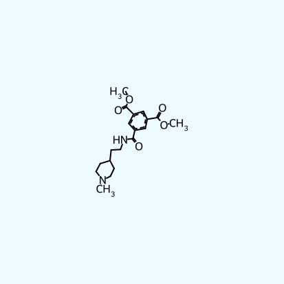 COC(=O)c1cc(C(=O)NCCC2CCN(C)CC2)cc(C(=O)OC)c1